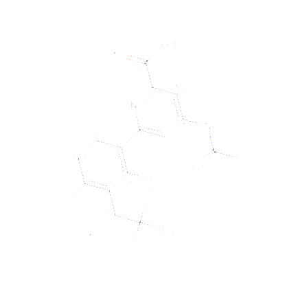 CC(=O)Nc1cc(-c2ccc(Cl)c(C(F)C(F)(F)F)c2F)nc(C(=O)O)c1Cl